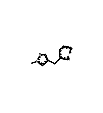 Cn1cc(Cc2ccccc2)cn1